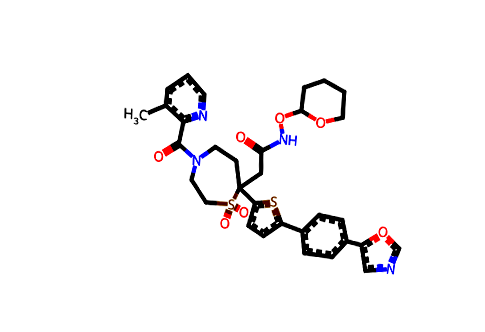 Cc1cccnc1C(=O)N1CCC(CC(=O)NOC2CCCCO2)(c2ccc(-c3ccc(-c4cnco4)cc3)s2)S(=O)(=O)CC1